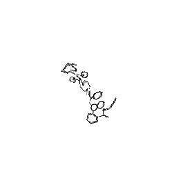 C=CC(=O)C(=C)c1ccccc1OCC(=O)N1CCN(S(=O)(=O)c2cccs2)CC1